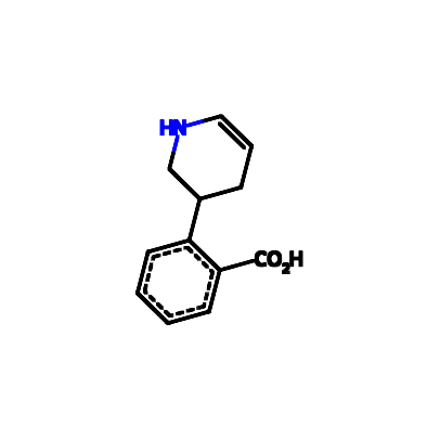 O=C(O)c1ccccc1C1CC=CNC1